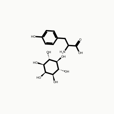 NC(Cc1ccc(O)cc1)C(=O)O.O[C@H]1[C@H](O)[C@@H](O)[C@H](O)[C@@H](O)[C@H]1O